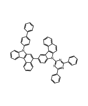 c1ccc(-c2ccc(-n3c4ccccc4c4c5ccccc5c(-c5ccc6c(c5)c5c7ccccc7ccc5n6-c5nc(-c6ccccc6)nc(-c6ccccc6)n5)cc43)cc2)cc1